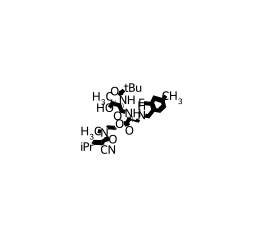 Cc1ccc(CNC[C@H](NC(=O)[C@@H](NC(=O)C(C)(C)C)[C@@H](C)O)C(=O)OCCN(C)C(=O)C(C#N)=CC(C)C)c(F)c1